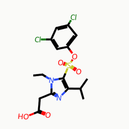 CCn1c(CC(=O)O)nc(C(C)C)c1S(=O)(=O)Oc1cc(Cl)cc(Cl)c1